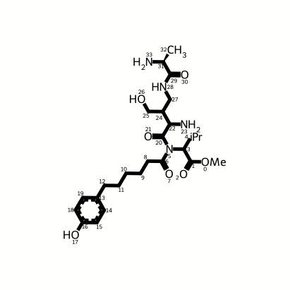 COC(=O)C(C(C)C)N(C(=O)CCCCCc1ccc(O)cc1)C(=O)C(N)C(CO)CNC(=O)[C@H](C)N